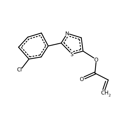 C=CC(=O)Oc1cnc(-c2cccc(Cl)c2)s1